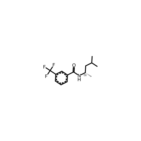 CC(C)C[C@H](C)NC(=O)c1cccc(C(F)(F)F)c1